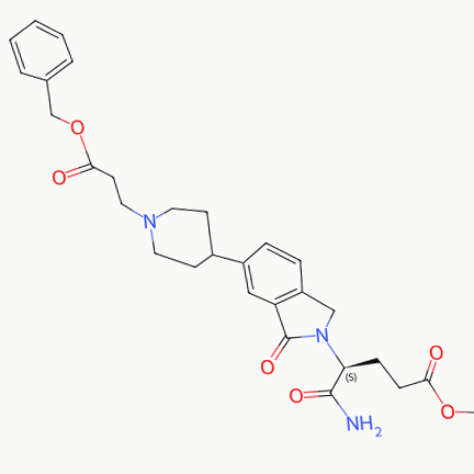 CC(C)(C)OC(=O)CC[C@@H](C(N)=O)N1Cc2ccc(C3CCN(CCC(=O)OCc4ccccc4)CC3)cc2C1=O